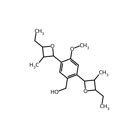 CCC1OC(c2cc(OC)c(C3OC(CC)C3C)cc2CO)C1C